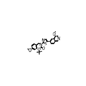 COc1ccc(CN(C(=O)OC(C)(C)C)c2ncc(-c3ccc4cncc(OC)c4c3)s2)cc1